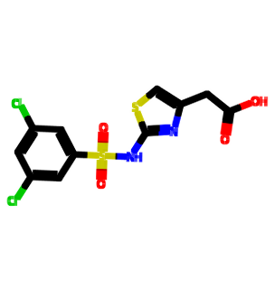 O=C(O)Cc1csc(NS(=O)(=O)c2cc(Cl)cc(Cl)c2)n1